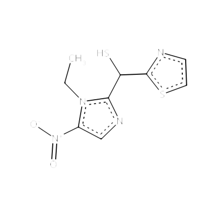 CCn1c([N+](=O)[O-])cnc1C(S)c1nccs1